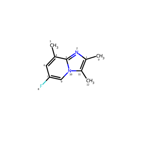 Cc1nc2c(C)cc(F)cn2c1C